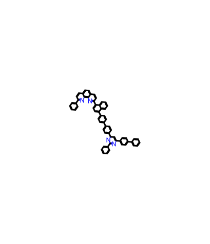 c1ccc(-c2ccc(-c3cc(-c4ccc(-c5ccc(-c6ccc(-c7ccc8ccc9ccc(-c%10ccccc%10)nc9c8n7)c7ccccc67)cc5)cc4)nc(-c4ccccc4)n3)cc2)cc1